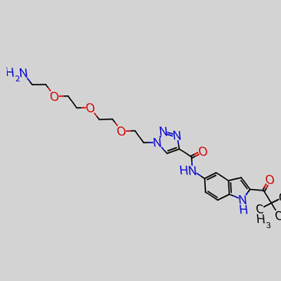 CC(C)(C)C(=O)c1cc2cc(NC(=O)c3cn(CCOCCOCCOCCN)nn3)ccc2[nH]1